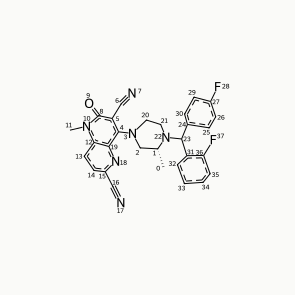 C[C@@H]1CN(c2c(C#N)c(=O)n(C)c3ccc(C#N)nc23)CCN1C(c1ccc(F)cc1)c1ccccc1F